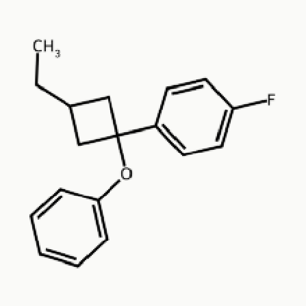 CCC1CC(Oc2ccccc2)(c2ccc(F)cc2)C1